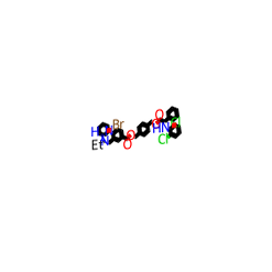 CCN(Cc1cc(C(=O)OCc2ccc(COC(=O)C(Nc3c(Cl)cccc3Cl)c3ccccc3)cc2)cc(Br)c1N)C1CCCCC1